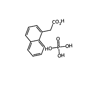 O=C(O)Cc1cccc2ccccc12.O=P(O)(O)O